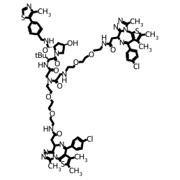 Cc1ncsc1-c1ccc(CNC(=O)[C@@H]2C[C@@H](O)CN2C(=O)[C@@H](NC(=O)CN(CCOCCOCCNC(=O)CC2N=C(c3ccc(Cl)cc3)c3c(sc(C)c3C)-n3c(C)nnc32)C(=O)CNCCOCCOCCNC(=O)CC2N=C(c3ccc(Cl)cc3)c3c(sc(C)c3C)-n3c(C)nnc32)C(C)(C)C)cc1